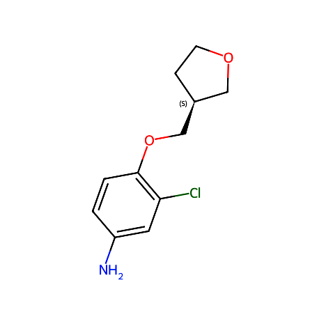 Nc1ccc(OC[C@H]2CCOC2)c(Cl)c1